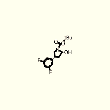 CC(C)(C)OC(=O)N1C[C@@H](c2cc(F)cc(F)c2)C[C@H]1O